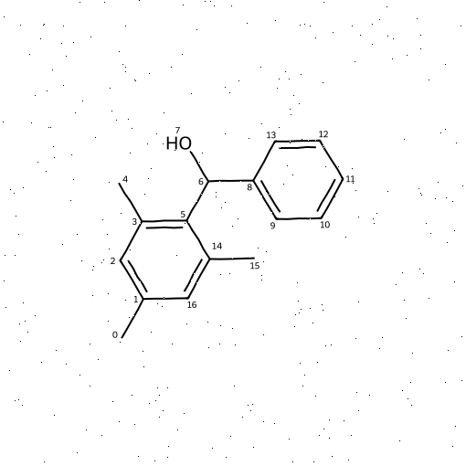 Cc1cc(C)c(C(O)c2ccccc2)c(C)c1